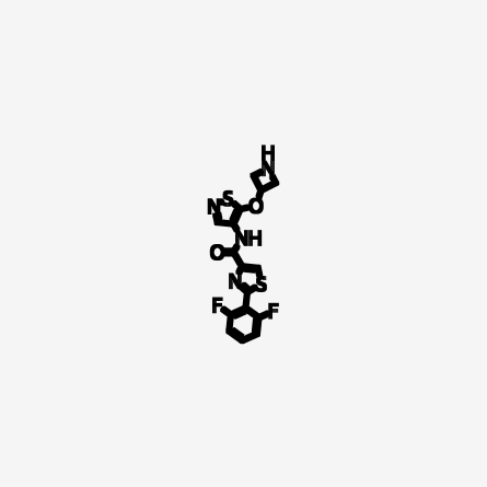 O=C(Nc1cnsc1OC1CNC1)c1csc(-c2c(F)cccc2F)n1